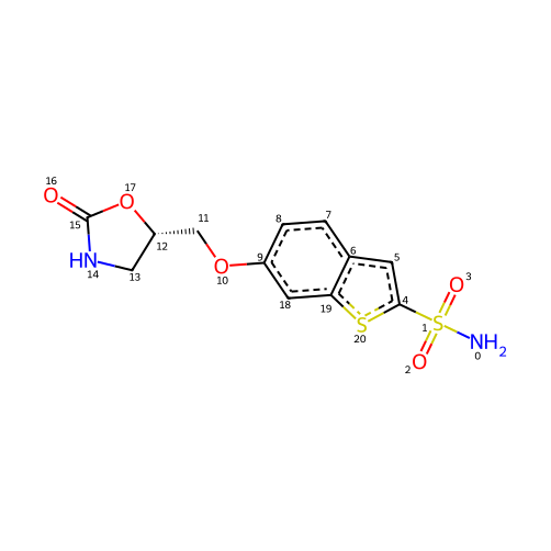 NS(=O)(=O)c1cc2ccc(OC[C@@H]3CNC(=O)O3)cc2s1